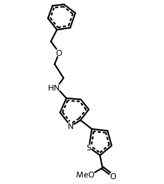 COC(=O)c1ccc(-c2ccc(NCCOCc3ccccc3)cn2)s1